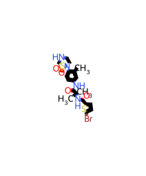 Cc1cc(NC(=O)C(C)(C)NC(=O)c2ccc(Br)s2)ccc1N1CCNCS1(=O)=O